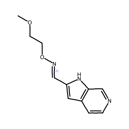 COCCO/N=C/c1cc2ccncc2[nH]1